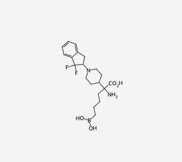 NC(CCCCB(O)O)(C(=O)O)C1CCN(C2Cc3ccccc3C2(F)F)CC1